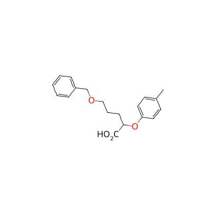 Cc1ccc(OC(CCCOCc2ccccc2)C(=O)O)cc1